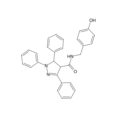 O=C(NCc1ccc(O)cc1)C1C(c2ccccc2)=NN(c2ccccc2)C1c1ccccc1